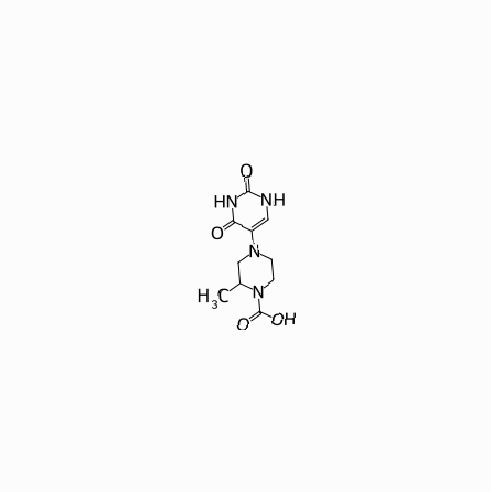 CC1CN(c2c[nH]c(=O)[nH]c2=O)CCN1C(=O)O